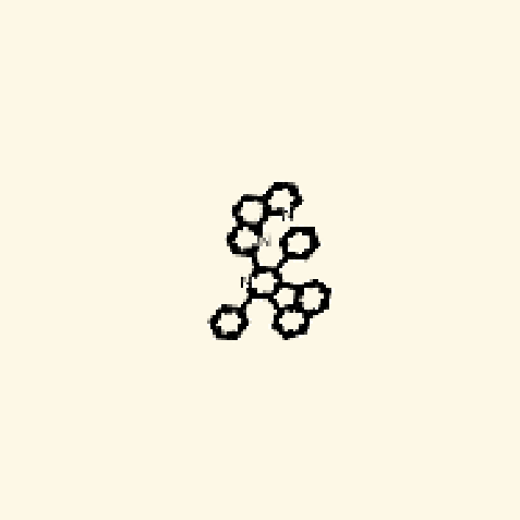 c1ccc(-c2nc(-c3ccc4ccc5cccnc5c4n3)c(-c3ccccc3)c3c2-c2cccc4cccc-3c24)cc1